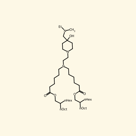 CCCCCCCCC(CCCCCC)COC(=O)CCCCCN(CCCCCC(=O)OCC(CCCCCC)CCCCCCCC)CCN1CCC(O)(CN(C)CC)CC1